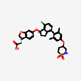 Cc1cc(OC2CCS(=O)(=O)NC2)cc(C)c1-c1ccc(F)c2c1CC[C@H]2Oc1ccc2c(c1)OC[C@H]2CC(=O)O